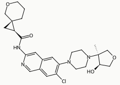 C[C@]1(N2CCN(c3cc4cc(NC(=O)[C@H]5C[C@@]56CCCOC6)ncc4cc3Cl)CC2)COC[C@H]1O